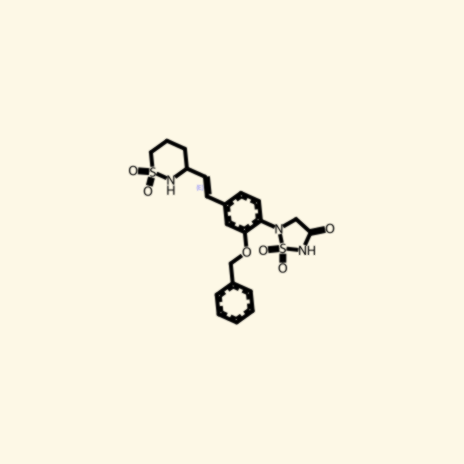 O=C1CN(c2ccc(/C=C/C3CCCS(=O)(=O)N3)cc2OCc2ccccc2)S(=O)(=O)N1